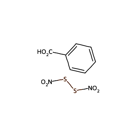 O=C(O)c1ccccc1.O=[N+]([O-])SS[N+](=O)[O-]